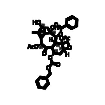 CC(=O)O[C@H]1C(=O)C2[C@@H](OC(=O)OCc3ccccc3)C[C@H]3OC[C@@]3(OC(C)=O)[C@H]2[C@H](OC(=O)c2ccccc2)[C@]2(O)C[C@H](O)C(C)=C1C2(C)C